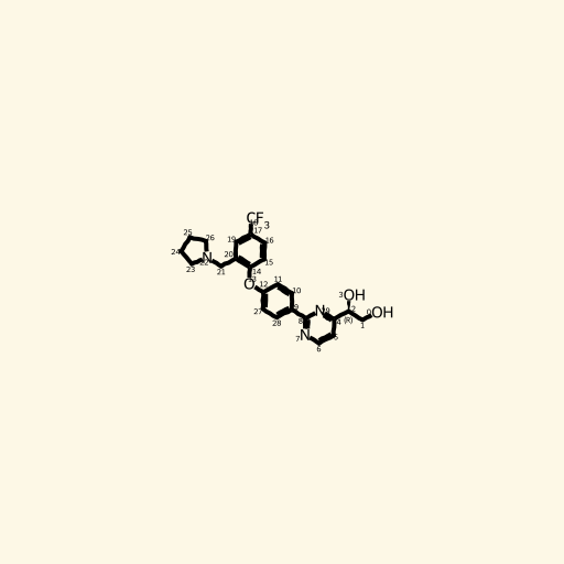 OC[C@H](O)c1ccnc(-c2ccc(Oc3ccc(C(F)(F)F)cc3CN3CCCC3)cc2)n1